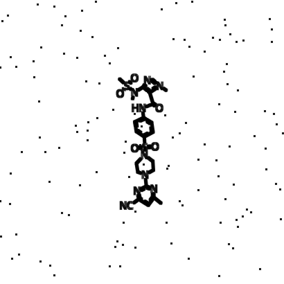 Cc1cc(C#N)nc(N2CCN(S(=O)(=O)c3ccc(NC(=O)c4c(N(C)S(C)(=O)=O)ncn4C)cc3)CC2)n1